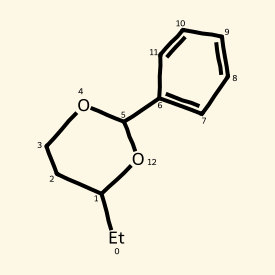 CCC1CCOC(c2ccccc2)O1